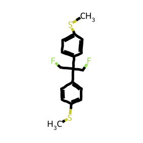 CSc1ccc(C(CF)(CF)c2ccc(SC)cc2)cc1